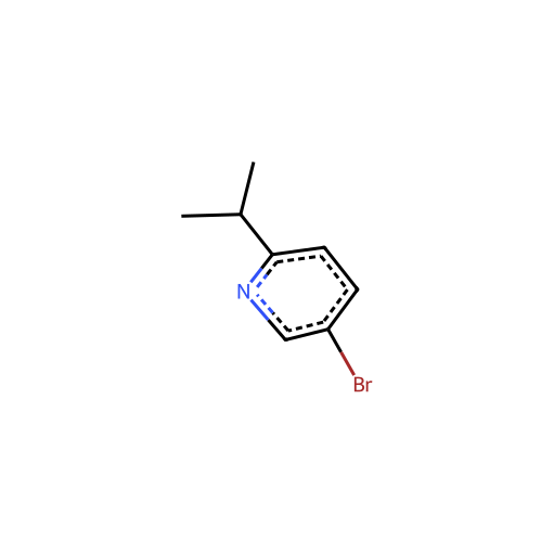 CC(C)c1ccc(Br)cn1